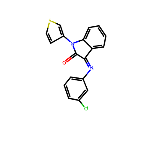 O=C1/C(=N\c2cccc(Cl)c2)c2ccccc2N1c1ccsc1